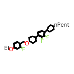 CCCCCC1CCC(c2ccc(C3CCC(OCc4ccc(OCC)cc4F)CC3)c(F)c2F)CC1